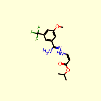 COc1cc(/C(N)=N/N/C=C\C(=O)OC(C)C)cc(C(F)(F)F)c1